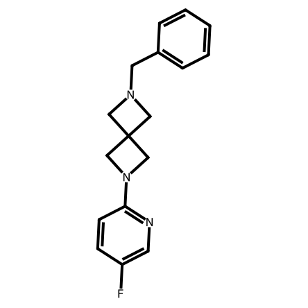 Fc1ccc(N2CC3(CN(Cc4ccccc4)C3)C2)nc1